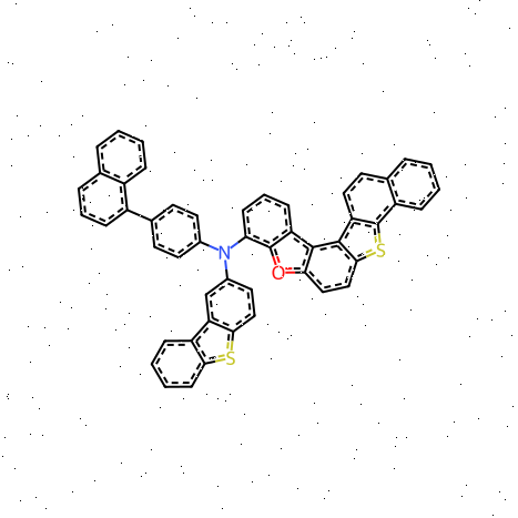 c1ccc2c(-c3ccc(N(c4ccc5sc6ccccc6c5c4)c4cccc5c4oc4ccc6sc7c8ccccc8ccc7c6c45)cc3)cccc2c1